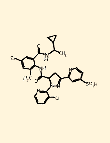 Cc1cc(Cl)cc(C(=O)NC(C)C2CC2)c1NC(=O)C1CC(c2cc(S(=O)(=O)O)ccn2)=NN1c1ncccc1Cl